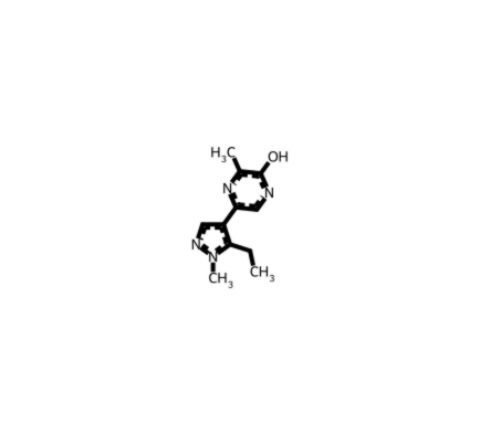 CCc1c(-c2cnc(O)c(C)n2)cnn1C